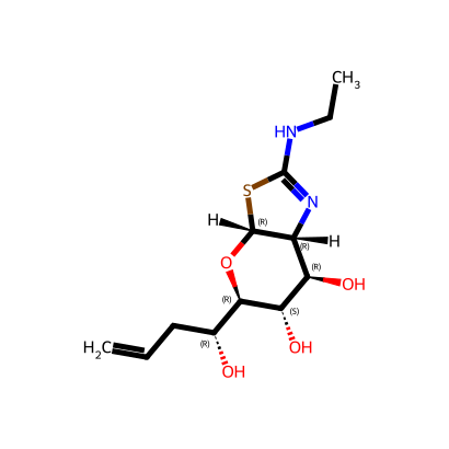 C=CC[C@@H](O)[C@H]1O[C@@H]2SC(NCC)=N[C@@H]2[C@@H](O)[C@@H]1O